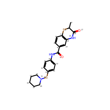 CC1Sc2ccc(C(=O)Nc3ccc(SN4CCCCC4)cc3)cc2NC1=O